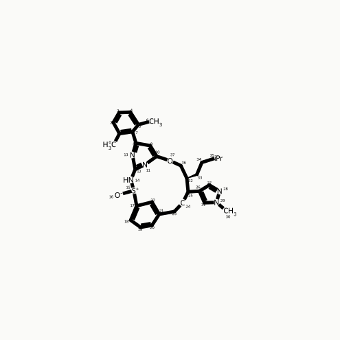 Cc1cccc(C)c1-c1cc2nc(n1)N[S+]([O-])c1cccc(c1)CCC(c1cnn(C)c1)[C@H](CCC(C)C)CO2